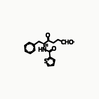 O=[C]CCC(=O)[C@H](Cc1ccccc1)NC(=O)c1cccs1